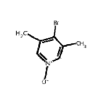 Cc1[c][n+]([O-])cc(C)c1Br